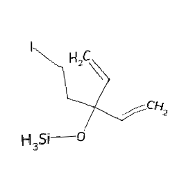 C=CC(C=C)(CCI)O[SiH3]